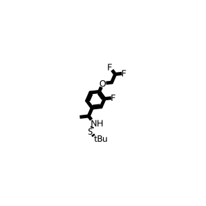 CC(NSC(C)(C)C)c1ccc(OCC(F)F)c(F)c1